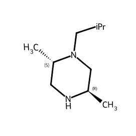 CC(C)CN1C[C@@H](C)NC[C@@H]1C